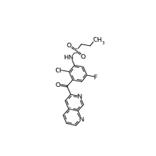 CCCS(=O)(=O)Nc1cc(F)cc(C(=O)c2cc3cccnc3cn2)c1Cl